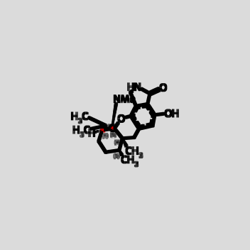 CN[C@@H]1CC(C)(C)[C@@H]2CC[C@H](C)[C@@]3(C)Cc4cc(O)c5c(c4O[C@@]23C1)CNC5=O